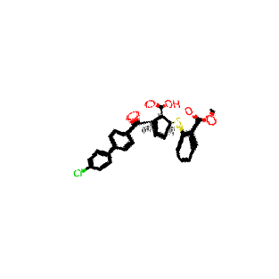 COC(=O)c1ccccc1S[C@@H]1CC[C@@H](C(=O)c2ccc(-c3ccc(Cl)cc3)cc2)[C@H]1C(=O)O